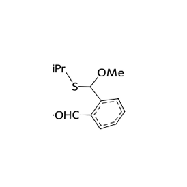 COC(SC(C)C)c1ccccc1[C]=O